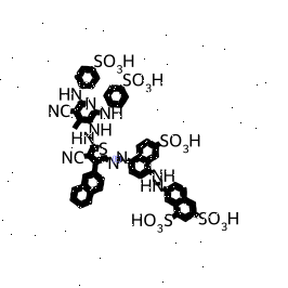 Cc1c(C#N)c(Nc2ccc(S(=O)(=O)O)cc2)nc(Nc2ccc(S(=O)(=O)O)cc2)c1NNc1sc(/N=N/c2ccc(NNc3ccc4cc(S(=O)(=O)O)cc(S(=O)(=O)O)c4c3)c3cc(S(=O)(=O)O)ccc23)c(-c2ccc3ccccc3c2)c1C#N